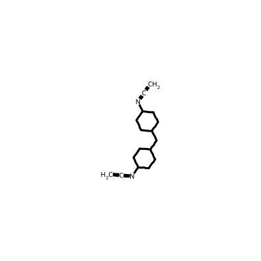 C=C=NC1CCC(CC2CCC(N=C=C)CC2)CC1